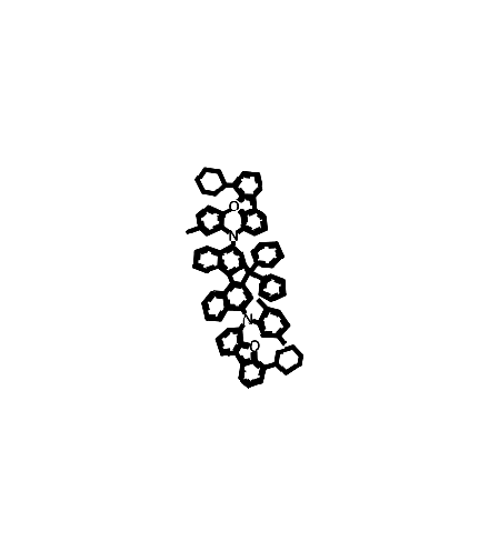 Cc1ccc(C)c(N(c2cc3c(c4ccccc24)-c2c(cc(N(c4cc(C)ccc4C)c4cccc5c4oc4c(C6CCCCC6)cccc45)c4ccccc24)C3(c2ccccc2)c2ccccc2)c2cccc3c2oc2c(C4CCCCC4)cccc23)c1